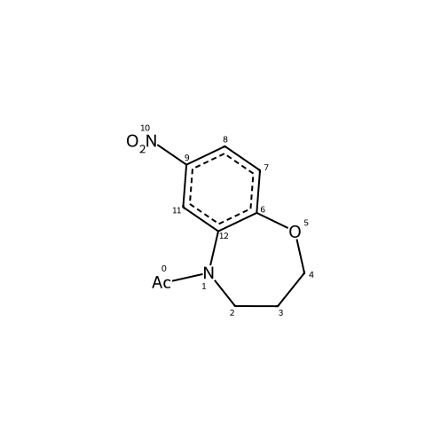 CC(=O)N1CCCOc2ccc([N+](=O)[O-])cc21